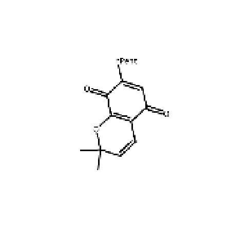 CCCCCC1=CC(=O)C2=C(OC(C)(C)C=C2)C1=O